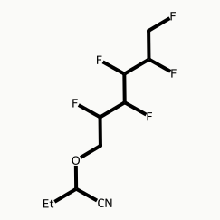 CCC(C#N)OCC(F)C(F)C(F)C(F)CF